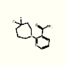 NC(=O)c1cccnc1N1CCCC(F)(F)CC1